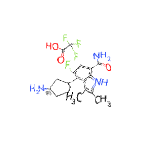 Cc1[nH]c2c(C(N)=O)cc(F)c(C3CC[C@@H](N)C3)c2c1C.O=C(O)C(F)(F)F